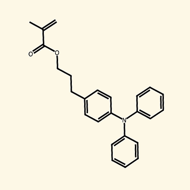 C=C(C)C(=O)OCCCc1ccc(N(c2ccccc2)c2ccccc2)cc1